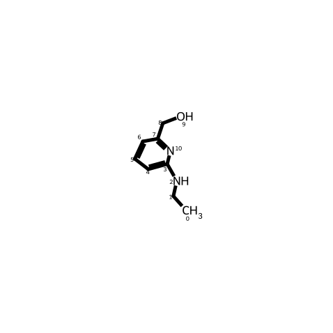 CCNc1cccc(CO)n1